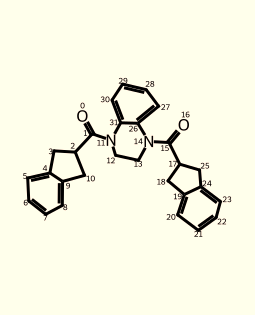 O=C(C1Cc2ccccc2C1)N1CCN(C(=O)C2Cc3ccccc3C2)c2ccccc21